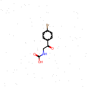 O=C(O)NCC(=O)c1ccc(Br)cc1